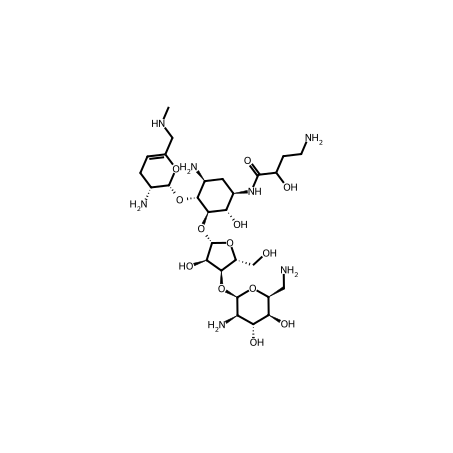 CNCC1=CC[C@@H](N)[C@@H](O[C@H]2[C@H](O[C@@H]3O[C@H](CO)[C@@H](O[C@H]4O[C@@H](CN)[C@@H](O)[C@H](O)[C@H]4N)[C@H]3O)[C@@H](O)[C@H](NC(=O)C(O)CCN)C[C@@H]2N)O1